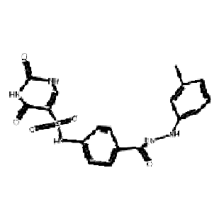 Cc1cccc(NNC(=O)c2ccc(NS(=O)(=O)c3c[nH]c(=O)[nH]c3=O)cc2)c1